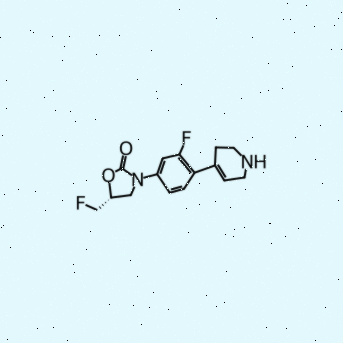 O=C1O[C@@H](CF)CN1c1ccc(C2=CCNCC2)c(F)c1